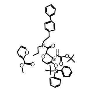 CCCN(CCc1ccc(-c2ccccc2)cc1)C(=O)C1OCC=C(O[Si](c2ccccc2)(c2ccccc2)C(C)(C)C)[C@H]1NC(=O)OC(C)(C)C.COC(=O)C1=CCC=CO1